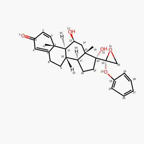 C[C@]12C=CC(=O)C=C1CC[C@@H]1[C@@H]2[C@@H](O)C[C@@]2(C)[C@H]1CC[C@]2(O)[C@]1(Oc2ccccc2)CO1